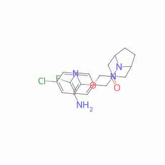 Nc1cc(Cl)cnc1OCC(=O)N1C2CCC1CN(Cc1ccc(F)cc1)C2